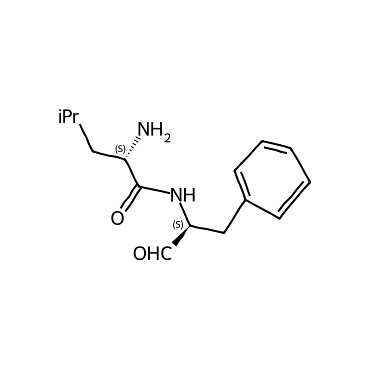 CC(C)C[C@H](N)C(=O)N[C@H](C=O)Cc1ccccc1